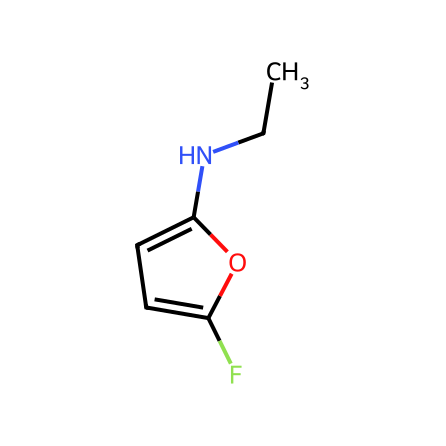 CCNc1ccc(F)o1